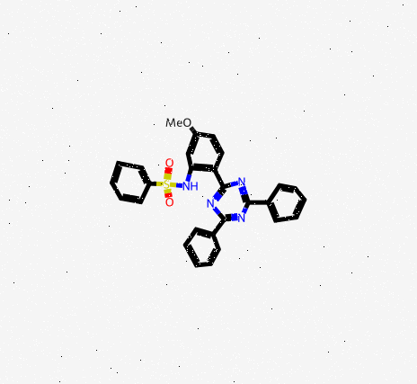 COc1ccc(-c2nc(-c3ccccc3)nc(-c3ccccc3)n2)c(NS(=O)(=O)c2ccccc2)c1